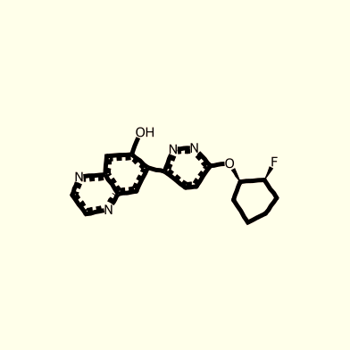 Oc1cc2nccnc2cc1-c1ccc(O[C@@H]2CCCC[C@@H]2F)nn1